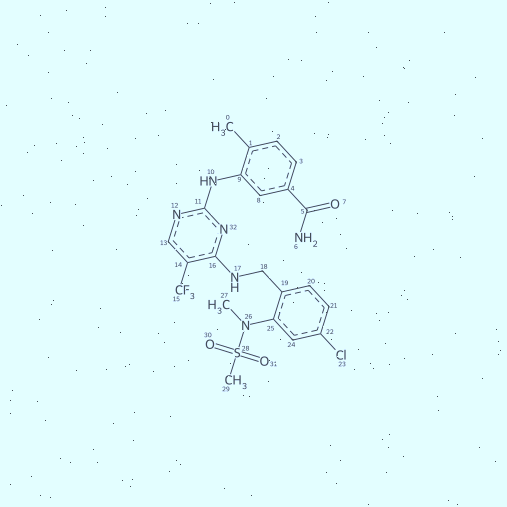 Cc1ccc(C(N)=O)cc1Nc1ncc(C(F)(F)F)c(NCc2ccc(Cl)cc2N(C)S(C)(=O)=O)n1